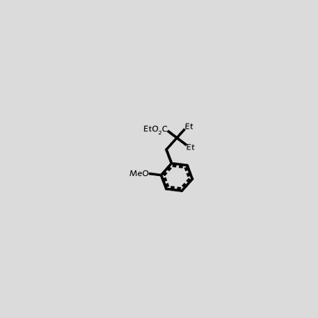 CCOC(=O)C(CC)(CC)Cc1ccccc1OC